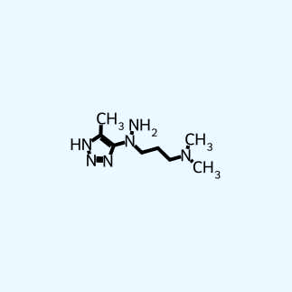 Cc1[nH]nnc1N(N)CCCN(C)C